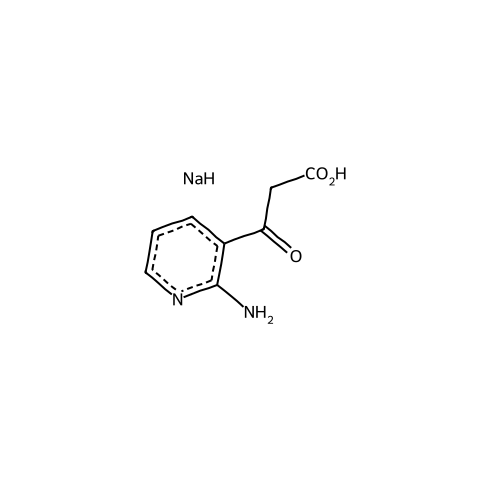 Nc1ncccc1C(=O)CC(=O)O.[NaH]